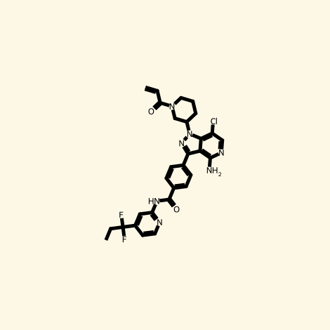 C=CC(=O)N1CCCC(n2nc(-c3ccc(C(=O)Nc4cc(C(F)(F)CC)ccn4)cc3)c3c(N)ncc(Cl)c32)C1